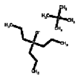 CCC[Si]([O-])(CCC)CCC.C[N+](C)(C)C